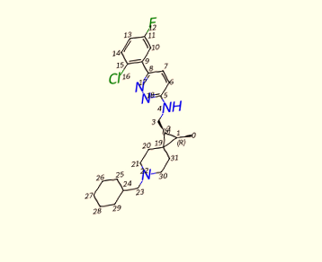 C[C@@H]1[C@H](CNc2ccc(-c3cc(F)ccc3Cl)nn2)C12CCN(CC1CCCCC1)CC2